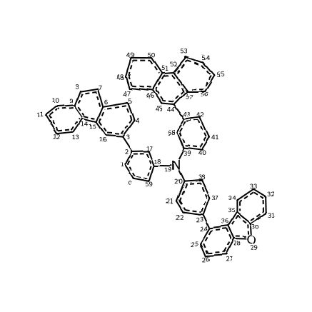 c1cc(-c2ccc3ccc4ccccc4c3c2)cc(N(c2ccc(-c3cccc4oc5ccccc5c34)cc2)c2cccc(-c3cc4ccccc4c4ccccc34)c2)c1